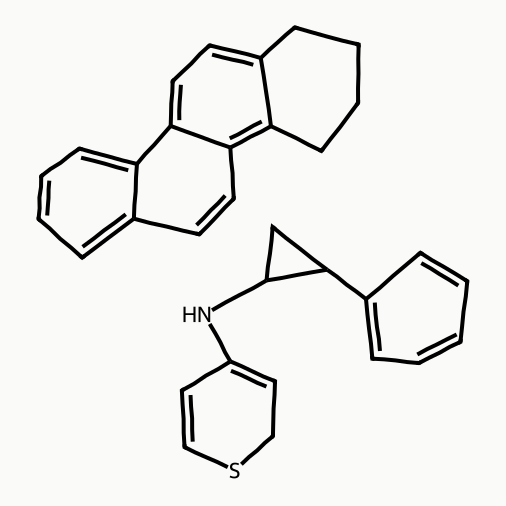 C1=CC(NC2CC2c2ccccc2)=CCS1.c1ccc2c(c1)ccc1c3c(ccc12)CCCC3